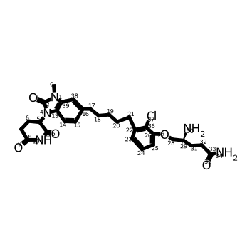 Cn1c(=O)n(C2CCC(=O)NC2=O)c2ccc(CCCCCc3cccc(OC[C@@H](N)CCC(N)=O)c3Cl)cc21